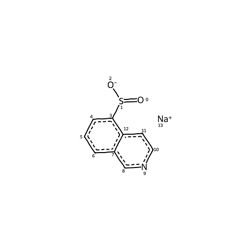 O=S([O-])c1cccc2cnccc12.[Na+]